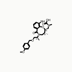 COc1ccc(COC[C@H](C)N2C[C@@H](C)[C@H](CN(C)C(=O)O)Oc3c(N)cccc3C2=O)cc1